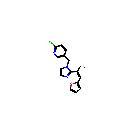 O=[N+]([O-])/C(=C/c1ccco1)C1=NCCN1Cc1ccc(Cl)nc1